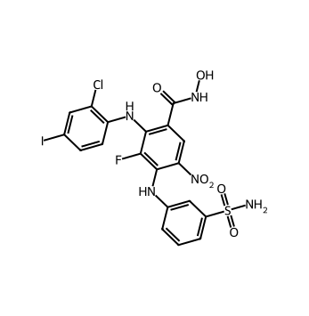 NS(=O)(=O)c1cccc(Nc2c([N+](=O)[O-])cc(C(=O)NO)c(Nc3ccc(I)cc3Cl)c2F)c1